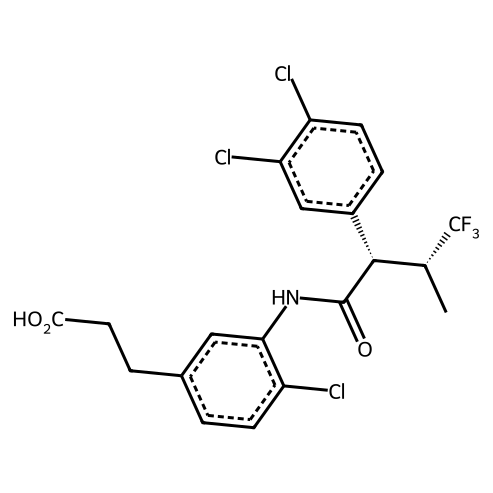 C[C@H]([C@H](C(=O)Nc1cc(CCC(=O)O)ccc1Cl)c1ccc(Cl)c(Cl)c1)C(F)(F)F